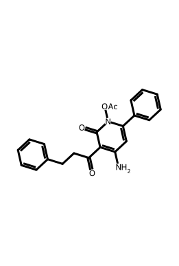 CC(=O)On1c(-c2ccccc2)cc(N)c(C(=O)CCc2ccccc2)c1=O